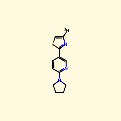 [2H]c1csc(-c2ccc(N3CCCC3)nc2)n1